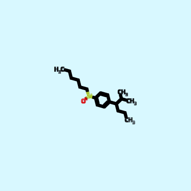 CCCCCC[S+]([O-])c1ccc(C(CCC)[C](C)C)cc1